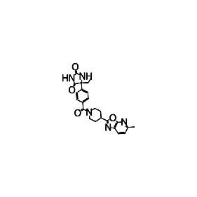 CC[C@]1(c2ccc(C(=O)N3CCC(c4nc5ccc(C)nc5o4)CC3)cc2)NC(=O)NC1=O